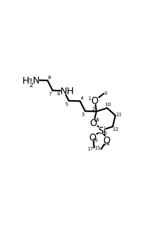 COC1(CCCNCCN)CCC[Si](OC)(OC)O1